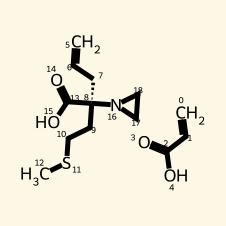 C=CC(=O)O.C=CC[C@](CCSC)(C(=O)O)N1CC1